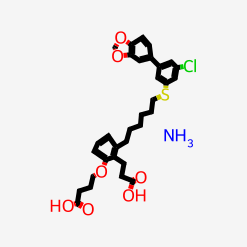 N.O=C(O)CCCOc1cccc(CCCCCCSc2cc(Cl)cc(-c3ccc4c(c3)OCO4)c2)c1CCC(=O)O